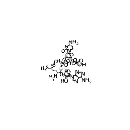 CSSC(CN)CCC(N)C(=O)O[C@H]1[C@@H](O)[C@@H](n2cnc3c(N)ncnc32)O[C@H]1COP(=O)(O)O[C@H]1C[C@H](n2ccc(N)nc2=O)O[C@@H]1COP(=O)(O)O